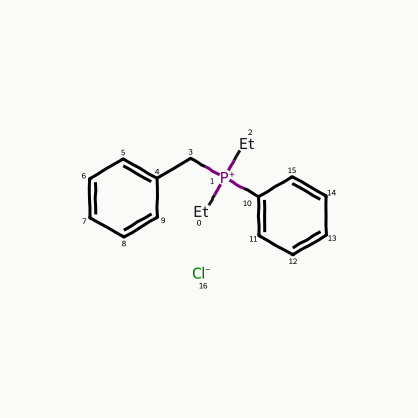 CC[P+](CC)(Cc1ccccc1)c1ccccc1.[Cl-]